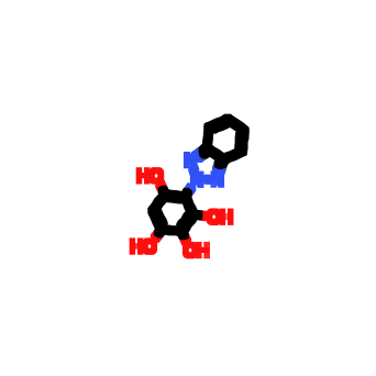 Oc1cc(O)c(-n2nc3ccccc3n2)c(O)c1O